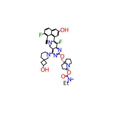 C#Cc1c(F)ccc2cc(O)cc(-c3ncc4c(N5CCCC6(CC(O)C6)C5)nc(OC[C@]56CCCN5[C@@H](OC(=O)N(C)CC)CC6)nc4c3F)c12